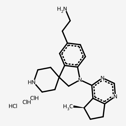 C[C@@H]1CCc2ncnc(N3CC4(CCNCC4)c4cc(CCN)ccc43)c21.Cl.Cl.Cl